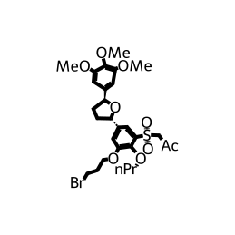 CCCOc1c(OCCCBr)cc([C@@H]2CC[C@@H](c3cc(OC)c(OC)c(OC)c3)O2)cc1S(=O)(=O)CC(C)=O